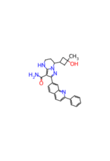 CC1(O)CC(C2CCNc3c(C(N)=O)c(-c4ccc5ccc(-c6ccccc6)nc5c4)nn32)C1